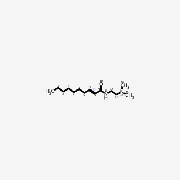 CCCCCCC/C=C/C(=O)NCCN(C)C